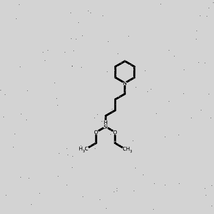 CCO[SiH](CCCCN1CCCCC1)OCC